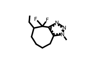 CCC1CCCCc2c(nnn2C)C1(F)F